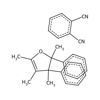 CC1=C(C)C(C)(c2ccccc2)C(C)(c2ccccc2)O1.N#Cc1ccccc1C#N